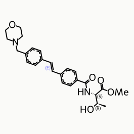 COC(=O)[C@@H](NC(=O)c1ccc(/C=C/c2ccc(CN3CCOCC3)cc2)cc1)[C@@H](C)O